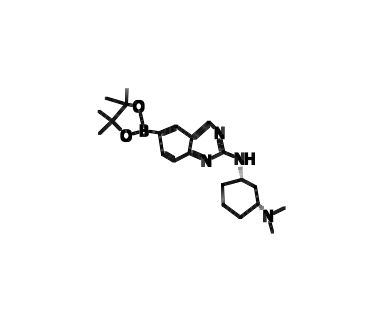 CN(C)[C@@H]1CCC[C@H](Nc2ncc3cc(B4OC(C)(C)C(C)(C)O4)ccc3n2)C1